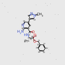 CC(C)[C@H](NC(=O)c1cc(-c2cnn(C)c2)cnc1N)C(=O)OCc1ccccc1